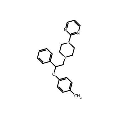 Cc1ccc(OC(CN2CCN(c3ncccn3)CC2)c2ccccc2)cc1